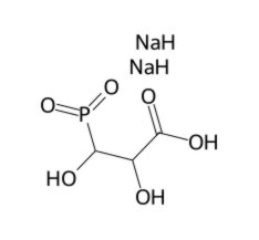 O=C(O)C(O)C(O)P(=O)=O.[NaH].[NaH]